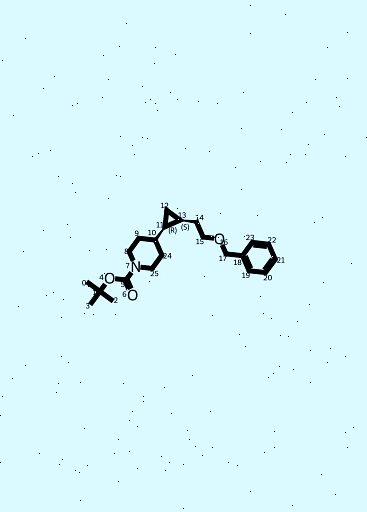 CC(C)(C)OC(=O)N1CCC([C@H]2C[C@H]2CCOCc2ccccc2)CC1